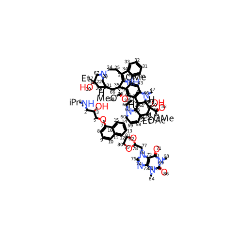 CC(C)NCC(O)COc1cccc2ccccc12.CC[C@]1(O)C[C@@H]2C[N@@](CCc3c([nH]c4ccccc34)[C@@](C(=O)OC)(c3cc4c(cc3OC)N(C)[C@H]3[C@@](O)(C(=O)OC)[C@H](OC(C)=O)[C@]5(CC)C=CCN6CC[C@]43[C@@H]65)C2)C1.Cn1c(=O)c2c(ncn2CC2OCCO2)n(C)c1=O